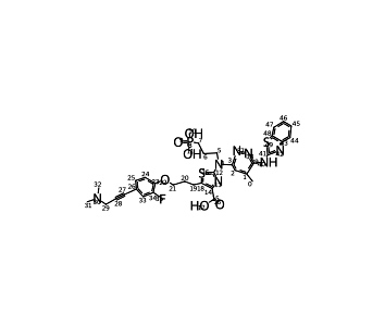 Cc1cc(N(CCCP(=O)(O)O)c2nc(C(=O)O)c(CCCOc3ccc(C#CCN(C)C)cc3F)s2)nnc1Nc1nc2ccccc2s1